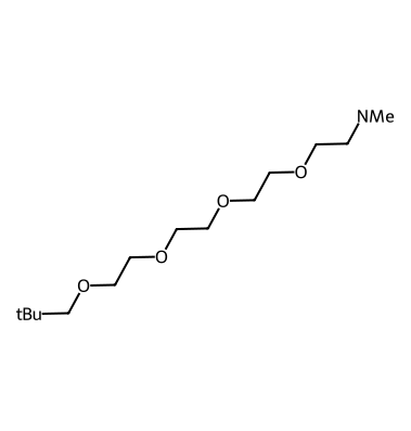 CNCCOCCOCCOCCOCC(C)(C)C